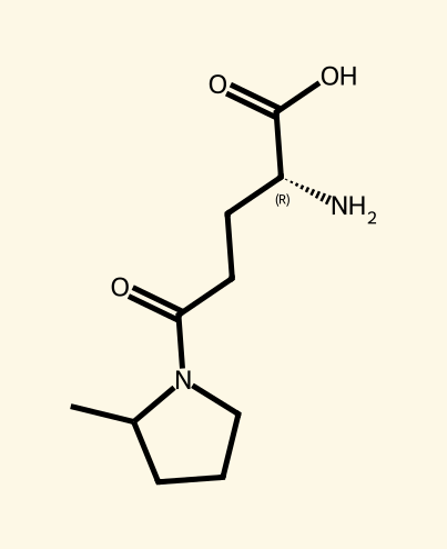 CC1CCCN1C(=O)CC[C@@H](N)C(=O)O